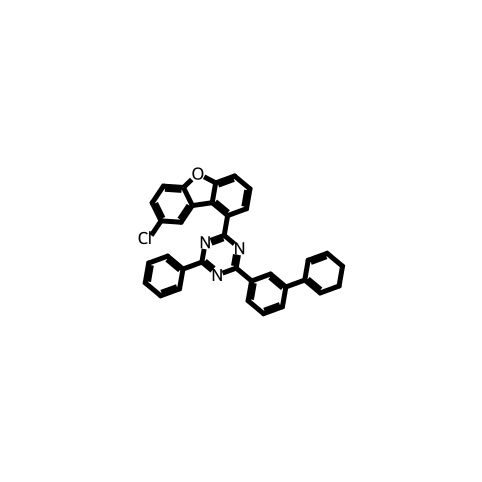 Clc1ccc2oc3cccc(-c4nc(-c5ccccc5)nc(-c5cccc(C6=CCCC=C6)c5)n4)c3c2c1